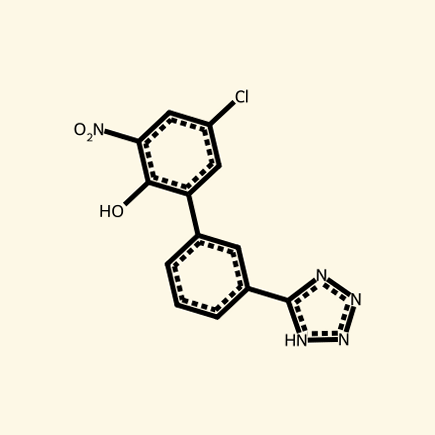 O=[N+]([O-])c1cc(Cl)cc(-c2cccc(-c3nnn[nH]3)c2)c1O